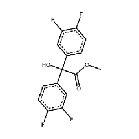 COC(=O)C(O)(c1ccc(F)c(F)c1)c1ccc(F)c(F)c1